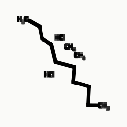 C.C.CCCCCCCCCC.Cl.Cl